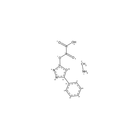 CN.O=C(O)C(=O)Oc1nnc(-c2ccccc2)o1